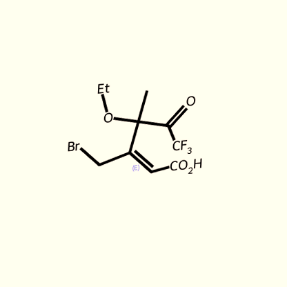 CCOC(C)(C(=O)C(F)(F)F)/C(=C\C(=O)O)CBr